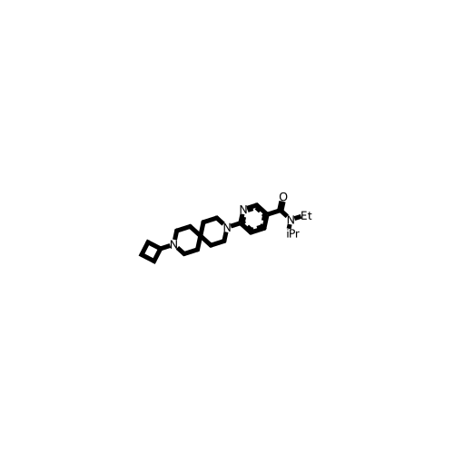 CCN(C(=O)c1ccc(N2CCC3(CC2)CCN(C2CCC2)CC3)nc1)C(C)C